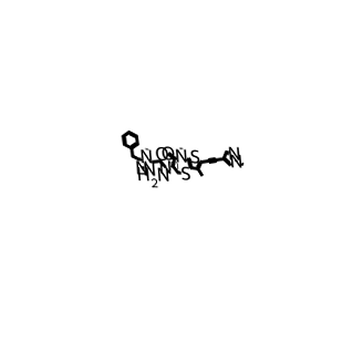 Cc1c(C#Cc2cnn(C)c2)sc2c1SC[C@H](N(N)C(=O)c1nnc(Cc3ccccc3)n1C)C(=O)N2C